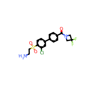 NCCS(=O)(=O)c1ccc(-c2ccc(C(=O)N3CC(F)(F)C3)cc2)cc1Cl